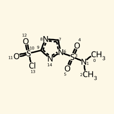 CN(C)S(=O)(=O)n1cnc(S(=O)(=O)Cl)n1